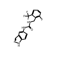 O=C(NCc1c(F)cccc1C(F)(F)F)Nc1ccc2[nH]ncc2c1